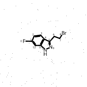 Fc1ccc2c(CCBr)n[nH]c2c1